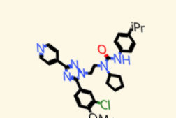 COc1ccc(-c2nc(-c3ccncc3)nn2CCN(C(=O)Nc2ccc(C(C)C)cc2)C2CCCC2)cc1Cl